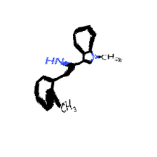 Cc1ccccc1CC(=N)c1cn(C)c2ccccc12